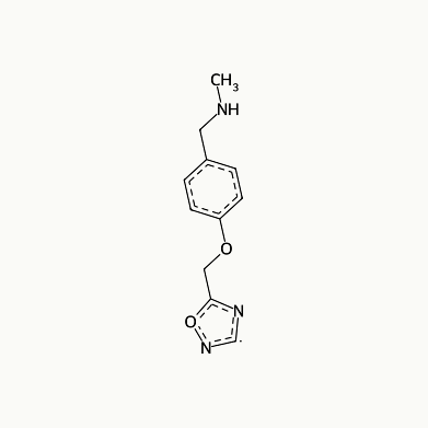 CNCc1ccc(OCc2n[c]no2)cc1